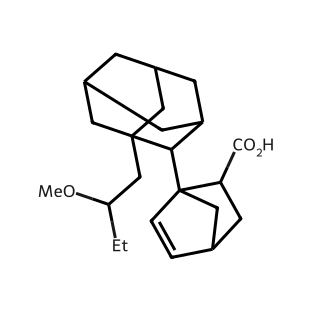 CCC(CC12CC3CC(CC(C3)C1C13C=CC(CC1C(=O)O)C3)C2)OC